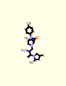 C=C(C(N)CN1C[C@@H]2CC1C(=O)N2c1ccc(C#N)cc1)N1CC(C)CC1C#N